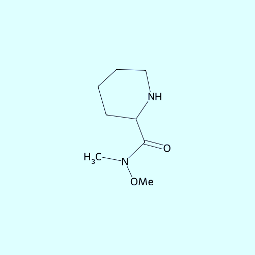 CON(C)C(=O)C1CCCCN1